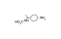 CC(NC(=O)O)[C@H]1CC[C@H](N)CC1